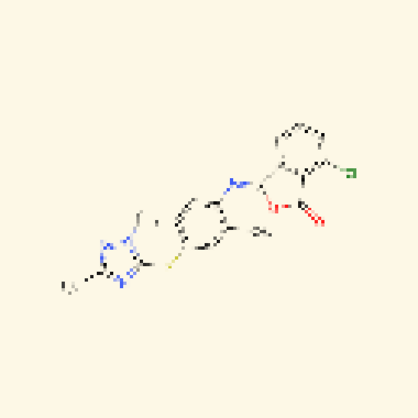 Cc1cc(Sc2nc(C(F)(F)F)nn2C)ccc1/N=C1\OC(=O)c2c(Cl)cccc21